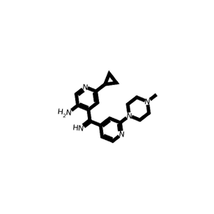 CN1CCN(c2cc(C(=N)c3cc(C4CC4)ncc3N)ccn2)CC1